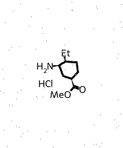 CC[C@H]1CC[C@@H](C(=O)OC)C[C@H]1N.Cl